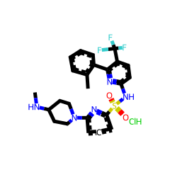 CNC1CCN(c2cccc(S(=O)(=O)Nc3ccc(C(F)(F)F)c(-c4ccccc4C)n3)n2)CC1.Cl